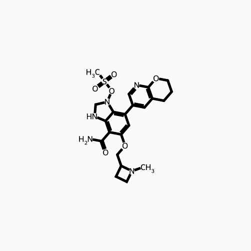 CN1CCC1COc1cc(-c2cnc3c(c2)CCCO3)c2c(c1C(N)=O)NCN2OS(C)(=O)=O